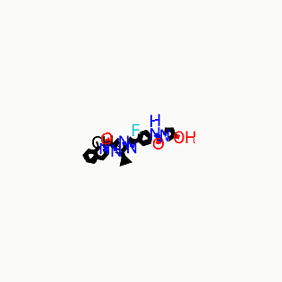 C[C@@H]1c2ccccc2CCN1C(=O)c1cn2cc(-c3ccc(NC(=O)N4CCC(O)C4)cc3F)nc2c(C2CC2)n1